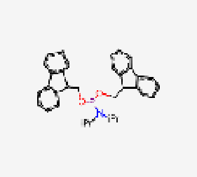 CC(C)N(C(C)C)P(OCC1c2ccccc2-c2ccccc21)OCC1c2ccccc2-c2ccccc21